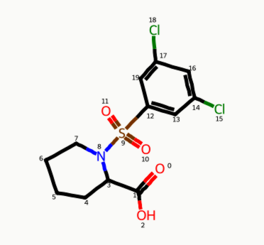 O=C(O)C1CCCCN1S(=O)(=O)c1cc(Cl)cc(Cl)c1